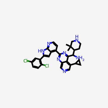 CC1(C)CNCCC1C(N)c1nc(-c2ccnc3[nH]c(-c4cc(Cl)ccc4Cl)cc23)nc2cncc(C3CC3)c12